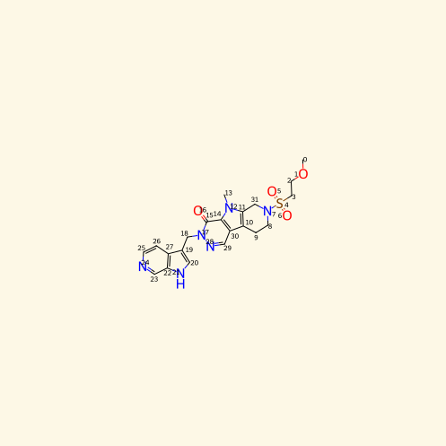 COCCS(=O)(=O)N1CCc2c(n(C)c3c(=O)n(Cc4c[nH]c5cnccc45)ncc23)C1